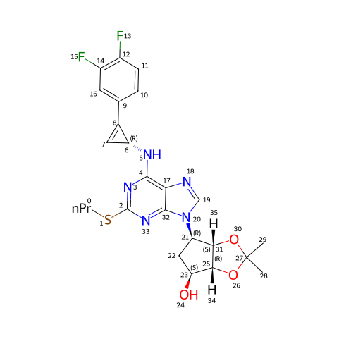 CCCSc1nc(N[C@@H]2C=C2c2ccc(F)c(F)c2)c2ncn([C@@H]3C[C@H](O)[C@H]4OC(C)(C)O[C@H]43)c2n1